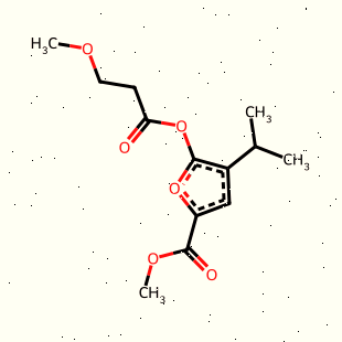 COCCC(=O)Oc1oc(C(=O)OC)cc1C(C)C